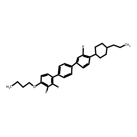 CCCCOc1ccc(-c2ccc(-c3ccc(C4CCC(CCC)CC4)c(F)c3)cc2)c(F)c1F